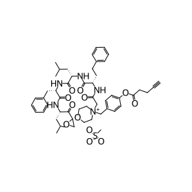 C#CCCC(=O)Oc1ccc(C[N+]2(CC(=O)N[C@@H](CCc3ccccc3)C(=O)N[C@@H](CC(C)C)C(=O)N[C@@H](Cc3ccccc3)C(=O)N[C@@H](CC(C)C)C(=O)[C@@]3(C)CO3)CCOCC2)cc1.CS(=O)(=O)[O-]